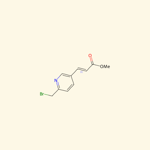 COC(=O)/C=C/c1ccc(CBr)nc1